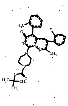 Cc1ccccc1-c1c(=O)nc(N2CCN(C(=O)OC(C)(C)C)CC2)n2nc(C)c(-c3ccccc3F)cc12